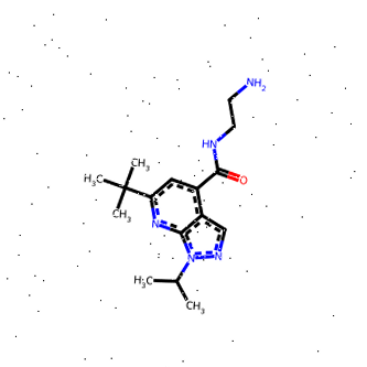 CC(C)n1ncc2c(C(=O)NCCN)cc(C(C)(C)C)nc21